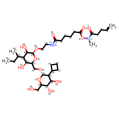 C=CCCC(=O)N(C)OC(=O)CCCCC(=O)NCCO[C@H]1OC(CO[C@H]2OC(CO)[C@@H](O)C(O)C2C2CCC2)[C@@H](O)C(C(C)CC)C1O